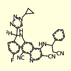 [2H]C(Nc1cc(C#N)c2ncc(C#N)c(NC(CC#N)c3ccccc3)c2c1)(c1ccc(F)cc1)c1cn(C2CC2)nn1